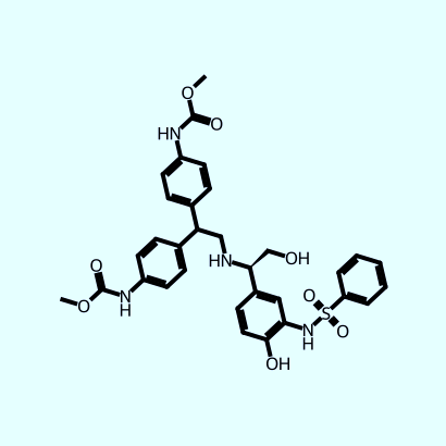 COC(=O)Nc1ccc(C(CN[C@@H](CO)c2ccc(O)c(NS(=O)(=O)c3ccccc3)c2)c2ccc(NC(=O)OC)cc2)cc1